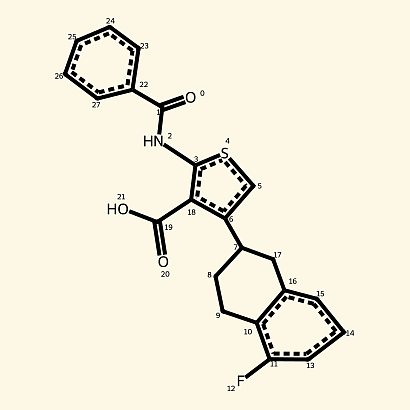 O=C(Nc1scc(C2CCc3c(F)cccc3C2)c1C(=O)O)c1ccccc1